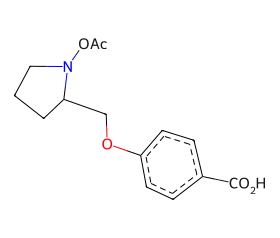 CC(=O)ON1CCCC1COc1ccc(C(=O)O)cc1